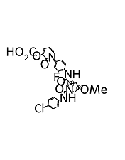 CO[C@@H]1C[C@H](C(=O)Nc2ccc(-n3cccc(OC(=O)O)c3=O)cc2F)N(C(=O)Nc2ccc(Cl)cc2)C1